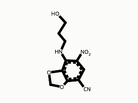 N#Cc1cc([N+](=O)[O-])c(NCCCO)c2c1OCO2